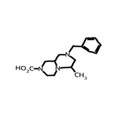 CC1CN(Cc2ccccc2)CC2CN(C(=O)O)CCN12